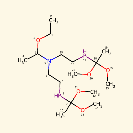 CCOC(C)N(CCPC(C)(OC)OC)CCPC(C)(OC)OC